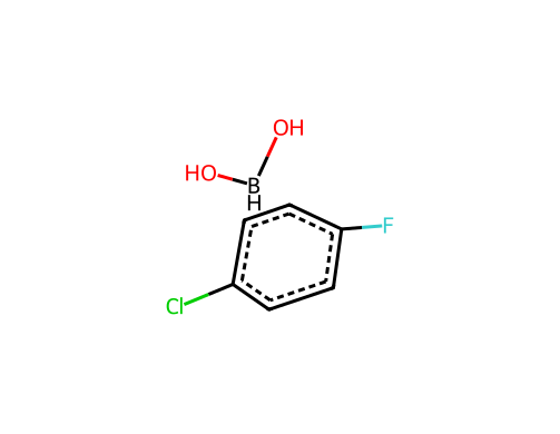 Fc1ccc(Cl)cc1.OBO